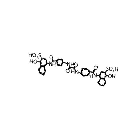 O=C(Nc1ccc(C(=O)Nc2cc(S(=O)(=O)O)c(O)c3ccccc23)cc1)C(=O)Nc1ccc(C(=O)Nc2cc(S(=O)(=O)O)c(O)c3ccccc23)cc1